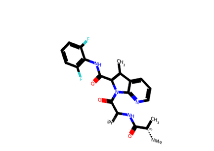 CN[C@@H](C)C(=O)NC(C(=O)N1c2ncccc2C(C)C1C(=O)Nc1c(F)cccc1F)C(C)C